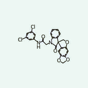 O=C(CN1C(=O)C2(COc3cc4c(cc32)OCO4)c2ccccc21)Nc1cc(Cl)cc(Cl)c1